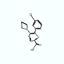 O=C(O)c1cnc(N2CCC2)c(-c2cccc(Cl)c2)n1